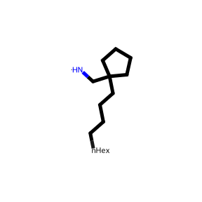 CCCCCCCCCCC1(C[NH])CCCC1